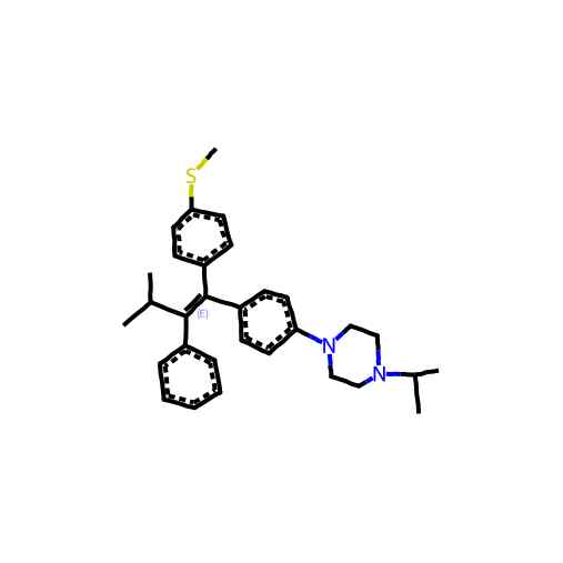 CSc1ccc(/C(=C(/c2ccccc2)C(C)C)c2ccc(N3CCN(C(C)C)CC3)cc2)cc1